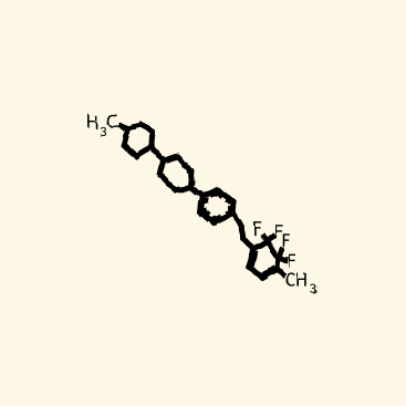 CC1=CC=C(CCc2ccc(C3CCC(C4CCC(C)CC4)CC3)cc2)C(F)(F)C1(F)F